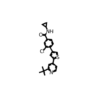 CC(C)(C)c1cc(-c2cc(-c3ccc(C(=O)NC4CC4)cc3Cl)cs2)ccn1